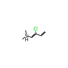 C=CC(Cl)=C[SiH](C)C